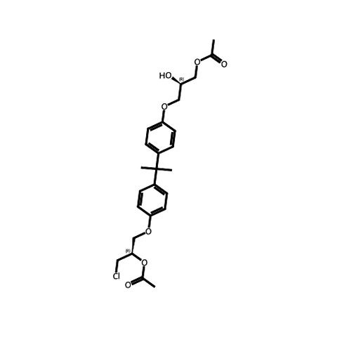 CC(=O)OC[C@H](O)COc1ccc(C(C)(C)c2ccc(OC[C@H](CCl)OC(C)=O)cc2)cc1